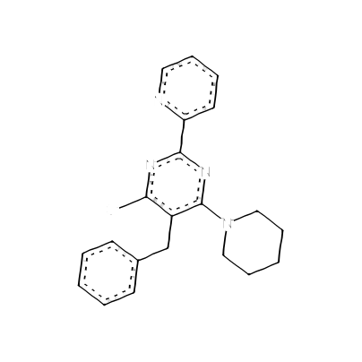 Clc1nc(-c2ccccn2)nc(N2CCCCC2)c1Cc1ccccc1